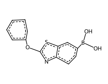 OB(O)c1ccc2nc(Oc3ccccc3)sc2c1